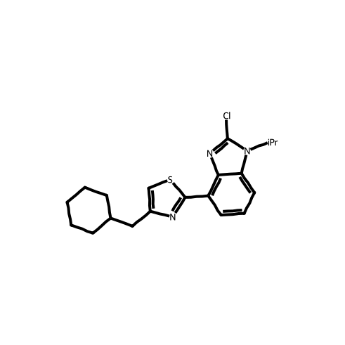 CC(C)n1c(Cl)nc2c(-c3nc(CC4CCCCC4)cs3)cccc21